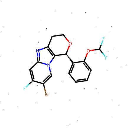 Fc1cc2nc3c(n2cc1Br)[C@H](c1ccccc1OC(F)F)OCC3